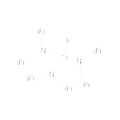 CC(C)N(C(C)C)[Si](F)(N(C(C)C)C(C)C)N(C(C)C)C(C)C